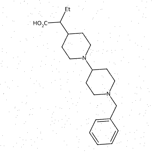 CCC(C(=O)O)C1CCN(C2CCN(Cc3ccccc3)CC2)CC1